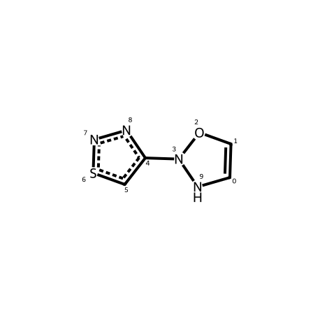 C1=CON(c2csnn2)N1